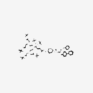 CC(C)(C)OC(=O)CN(CCN(CCN(CC(=O)OC(C)(C)C)CC(=O)OC(C)(C)C)C(CCC(=O)NC[C@H]1CC[C@H](C(=O)N[C@@H](Cc2ccc(-c3ccccc3)cc2)C(=O)OCc2ccccc2)CC1)P(=O)(OC(C)(C)C)OC(C)(C)C)CC(=O)OC(C)(C)C